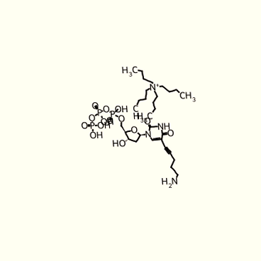 CCCC[N+](CCCC)(CCCC)CCCC.NCCCC#Cc1cn([C@H]2C[C@H](O)[C@@H](COP(=O)(O)OP(=O)(O)OP(=O)(O)O)O2)c(=O)[nH]c1=O